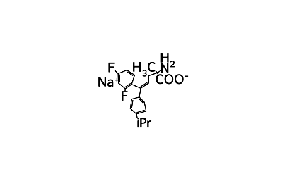 CC(C)c1ccc(C(=CCC(C)(N)C(=O)[O-])c2ccc(F)cc2F)cc1.[Na+]